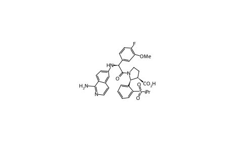 COc1cc([C@H](Nc2ccc3c(N)nccc3c2)C(=O)N2CC[C@@H](C(=O)O)[C@H]2c2ccccc2S(=O)(=O)C(C)C)ccc1F